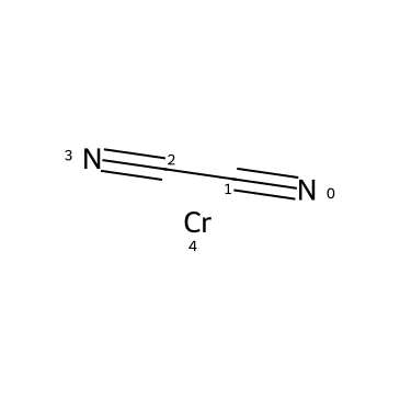 N#CC#N.[Cr]